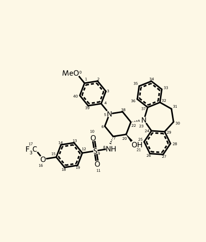 COc1ccc(N2C[C@@H](NS(=O)(=O)c3ccc(OC(F)(F)F)cc3)[C@H](O)[C@@H](N3c4ccccc4CCc4ccccc43)C2)cc1